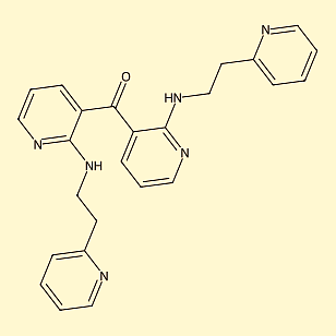 O=C(c1cccnc1NCCc1ccccn1)c1cccnc1NCCc1ccccn1